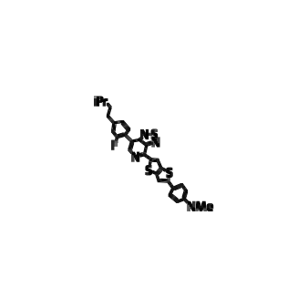 CNc1ccc(-c2cc3sc(-c4ncc(-c5ccc(CCC(C)C)cc5F)c5nsnc45)cc3s2)cc1